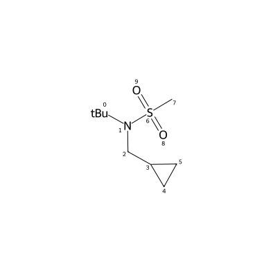 CC(C)(C)N(CC1CC1)S(C)(=O)=O